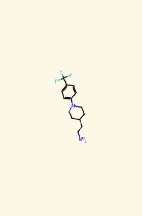 NCCC1CCN(c2ccc(C(F)(F)F)cc2)CC1